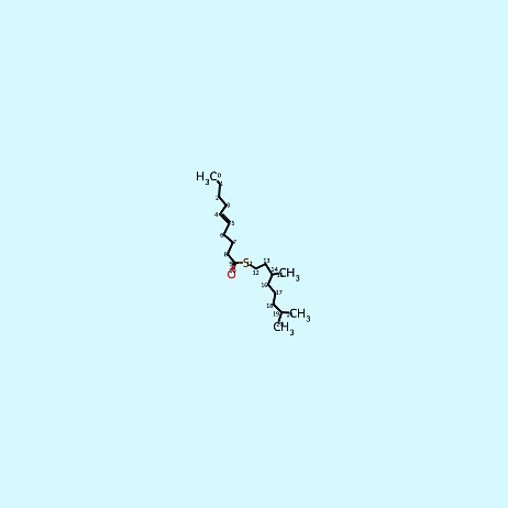 CCCCC=CCCCC(=O)SCCC(C)CCCC(C)C